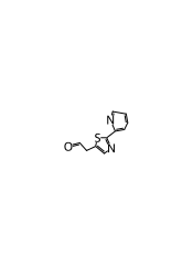 O=CCc1cnc(-c2ccccn2)s1